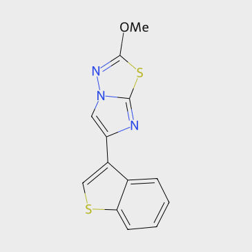 COc1nn2cc(-c3csc4ccccc34)nc2s1